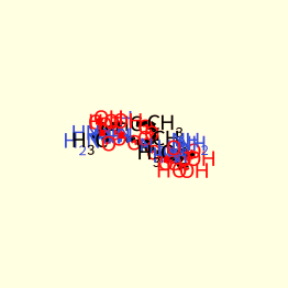 C#CCOC(C)COC(C)CC(=O)N(CCOCCNC(=O)CO[C@@H]([C@@H]1OC(C(=O)O)=C[C@H](NC(=N)N)[C@H]1NC(C)=O)[C@H](O)CO)CCOCCNC(=O)CO[C@@H]([C@@H]1OC(C(=O)O)=C[C@H](NC(=N)N)[C@H]1NC(C)=O)[C@H](O)CO